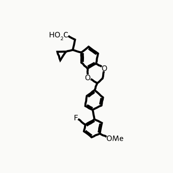 COc1ccc(F)c(-c2ccc(C3COc4ccc(C(CC(=O)O)C5CC5)cc4O3)cc2)c1